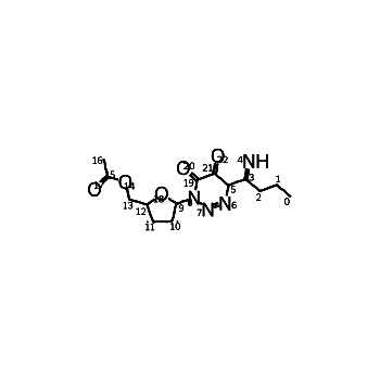 CCCC(=N)C1N=NN(C2[CH][CH]C(COC(C)=O)O2)C(=O)C1=O